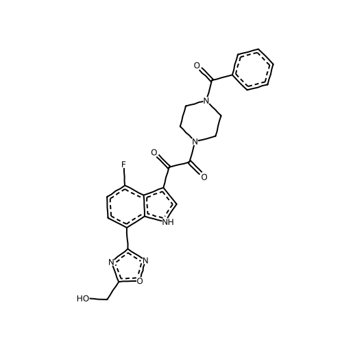 O=C(C(=O)N1CCN(C(=O)c2ccccc2)CC1)c1c[nH]c2c(-c3noc(CO)n3)ccc(F)c12